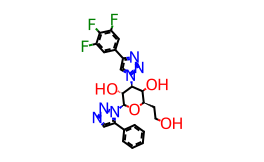 OCC[C@H]1O[C@@H](n2nncc2-c2ccccc2)[C@H](O)[C@@H](n2cc(-c3cc(F)c(F)c(F)c3)nn2)[C@H]1O